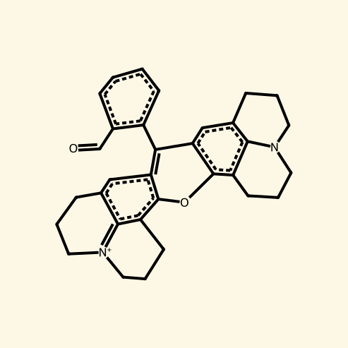 O=Cc1ccccc1C1=c2cc3c4c(c2Oc2c1cc1c5c2CCCN5CCC1)CCC[N+]=4CCC3